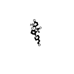 Cn1c(=O)n([C@@H]2CCC(=O)NC2=O)c2cccc(N3CCC(CC=O)CC3)c21